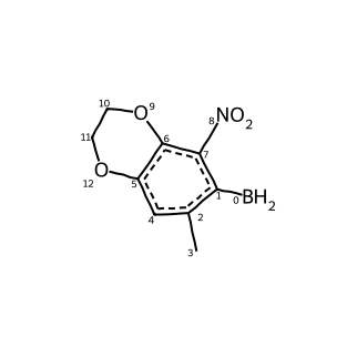 Bc1c(C)cc2c(c1[N+](=O)[O-])OCCO2